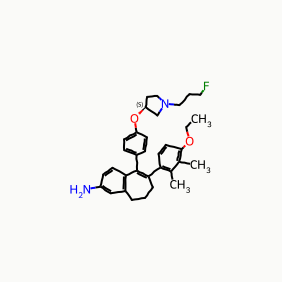 CCOc1ccc(C2=C(c3ccc(O[C@H]4CCN(CCCF)C4)cc3)c3ccc(N)cc3CCC2)c(C)c1C